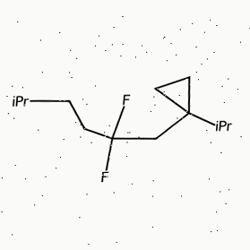 CC(C)CCC(F)(F)CC1(C(C)C)CC1